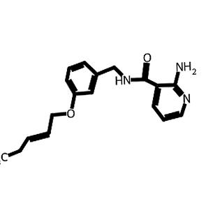 CCC=CCOc1cccc(CNC(=O)c2cccnc2N)c1